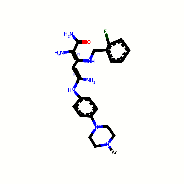 CC(=O)N1CCN(c2ccc(N/C(N)=C/C(NCc3ccccc3F)=C(\N)C(N)=O)cc2)CC1